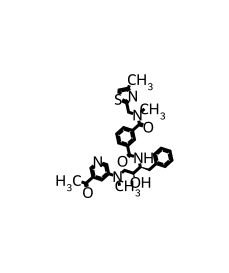 CC(=O)c1cncc(N(C)C[C@@H](O)[C@H](Cc2ccccc2)NC(=O)c2cccc(C(=O)N(C)Cc3nc(C)cs3)c2)c1